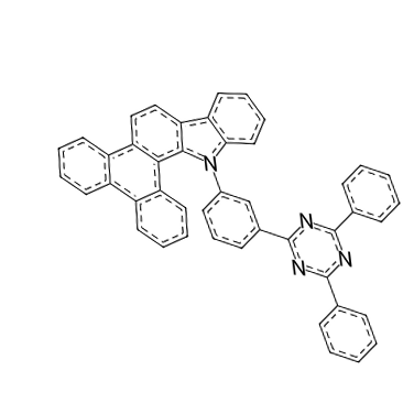 c1ccc(-c2nc(-c3ccccc3)nc(-c3cccc(-n4c5ccccc5c5ccc6c7ccccc7c7ccccc7c6c54)c3)n2)cc1